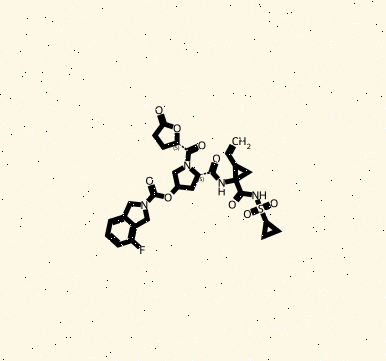 C=CC1CC1(NC(=O)[C@@H]1CC(OC(=O)N2Cc3cccc(F)c3C2)CN1C(=O)[C@@H]1CCC(=O)O1)C(=O)NS(=O)(=O)C1CC1